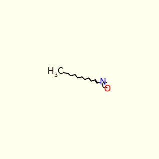 CCCCCCCCCC/C=C/N=C=O